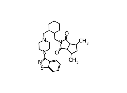 CC1CC(C)C2C(=O)N(CC3CCCCC3CN3CCN(c4nsc5ccccc45)CC3)C(=O)C12